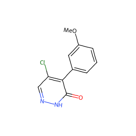 COc1cccc(-c2c(Cl)cn[nH]c2=O)c1